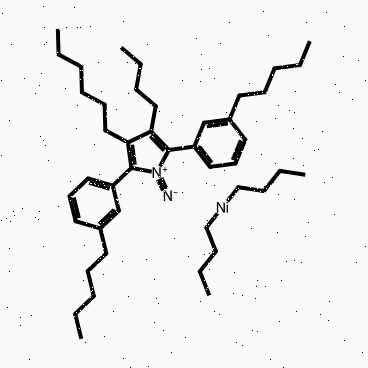 CCCCCCC1=C(c2cccc(CCCCC)c2)[N+](=[N-])C(c2cccc(CCCCC)c2)=C1CCCC.CCC[CH2][Ni][CH2]CCC